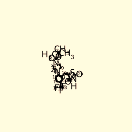 CC(C)(C)OC(=O)N1CCN(c2ccc(C(F)(F)F)cc2C=C2SC(=O)NC2=O)CC1